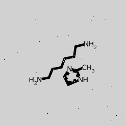 Cc1ncc[nH]1.NCCCCCCN